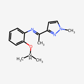 CC(=Nc1ccccc1O[SiH](C)C)c1ccn(C)n1